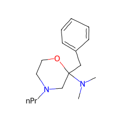 [CH2]CCN1CCOC(Cc2ccccc2)(N(C)C)C1